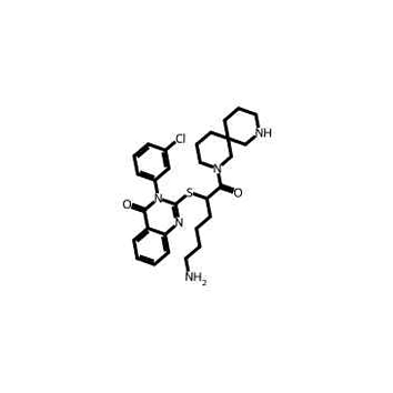 NCCCCC(Sc1nc2ccccc2c(=O)n1-c1cccc(Cl)c1)C(=O)N1CCCC2(CCCNC2)C1